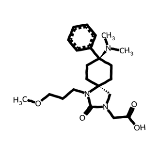 COCCCN1C(=O)N(CC(=O)O)C[C@]12CC[C@](c1ccccc1)(N(C)C)CC2